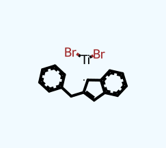 [Br][Ti][Br].[CH]1C(Cc2ccccc2)=Cc2ccccc21